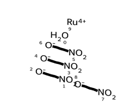 O.O=[N+]([O-])[O-].O=[N+]([O-])[O-].O=[N+]([O-])[O-].O=[N+]([O-])[O-].[Ru+4]